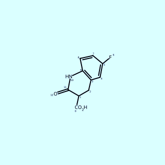 O=C(O)C1Cc2cc(F)ccc2NC1=O